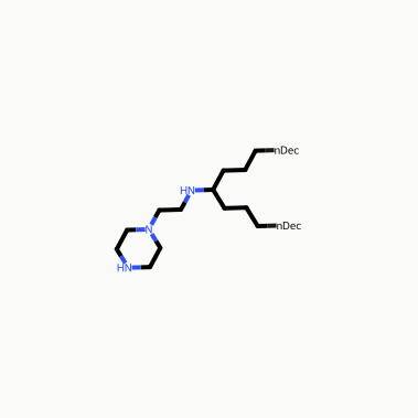 CCCCCCCCCCCCCC(CCCCCCCCCCCCC)NCCN1CCNCC1